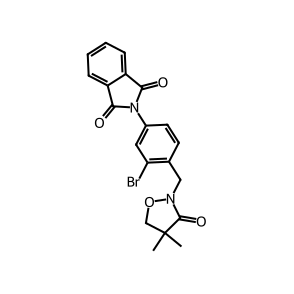 CC1(C)CON(Cc2ccc(N3C(=O)c4ccccc4C3=O)cc2Br)C1=O